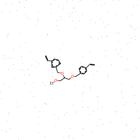 C=Cc1ccc(COCC(COCC)OCc2cccc(C=C)c2)cc1